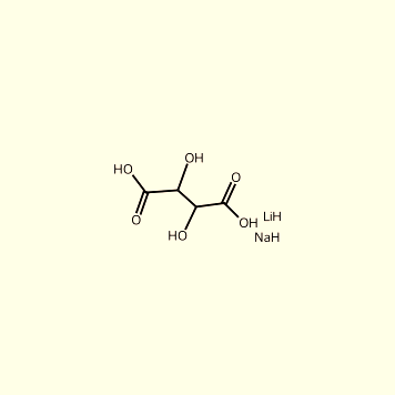 O=C(O)C(O)C(O)C(=O)O.[LiH].[NaH]